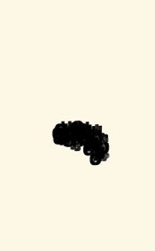 COP(=O)(O)OC(C)(C)COC(C)(C)P(=O)(O)OC(C)(C)C(C)(C)SC1CC(=O)N(CCN2C(=O)C=CC2=O)C1=O